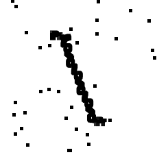 C=C(COCCOCCOCCOCCOCCOC(C)C)C(C)C